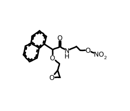 O=C(NCCO[N+](=O)[O-])C(OCC1CO1)c1cccc2ccccc12